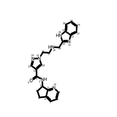 O=C(NC1CCc2cccnc21)c1cnn(CCNCc2nc3ccccc3[nH]2)c1